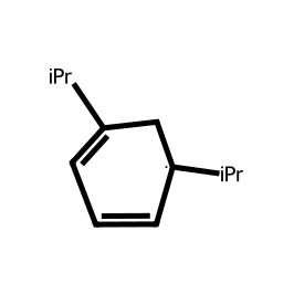 CC(C)[C]1C=CC=C(C(C)C)C1